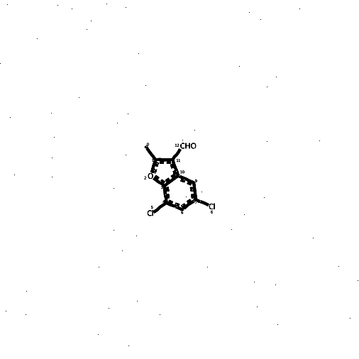 Cc1oc2c(Cl)cc(Cl)cc2c1C=O